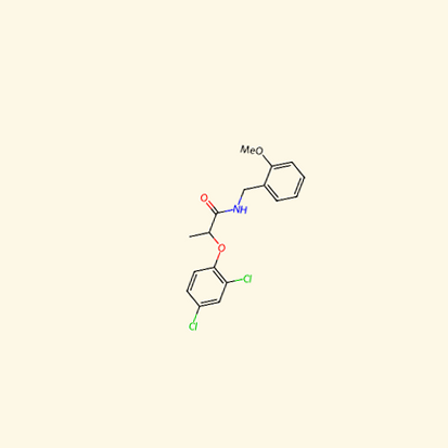 COc1ccccc1CNC(=O)C(C)Oc1ccc(Cl)cc1Cl